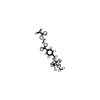 C=C(C)C(=O)OCCOC(=O)c1ccc(CSC(=S)P(C)(=O)OCC)cc1